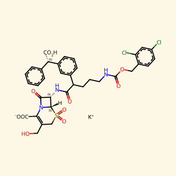 O=C(NCCCC(C(=O)N[C@H]1C(=O)N2C(C(=O)[O-])=C(CO)CS(=O)(=O)[C@@H]12)c1cccc([C@@H](C(=O)O)c2ccccc2)c1)OCc1ccc(Cl)cc1Cl.[K+]